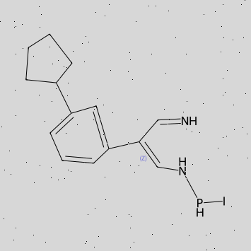 N=C/C(=C\NPI)c1cccc(C2CCCC2)c1